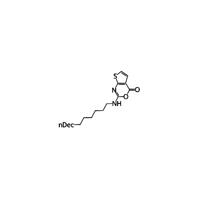 CCCCCCCCCCCCCCCCNc1nc2sccc2c(=O)o1